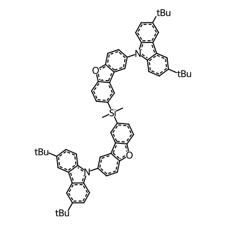 CC(C)(C)c1ccc2c(c1)c1cc(C(C)(C)C)ccc1n2-c1ccc2oc3ccc([Si](C)(C)c4ccc5oc6ccc(-n7c8ccc(C(C)(C)C)cc8c8cc(C(C)(C)C)ccc87)cc6c5c4)cc3c2c1